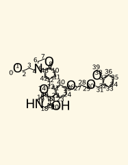 COCCCN1CCOc2ccc(CO[C@H]3CNC[C@@H](O)[C@@H]3c3ccc(OCCCOCc4ccccc4OC)cc3)cc21